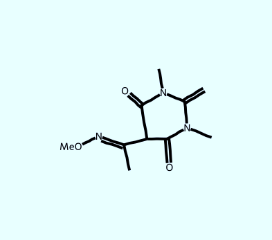 C=C1N(C)C(=O)C(/C(C)=N/OC)C(=O)N1C